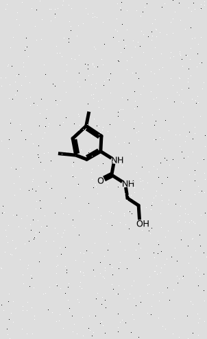 Cc1cc(C)cc(NC(=O)NCCO)c1